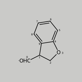 O=[C]C1COc2ccccc21